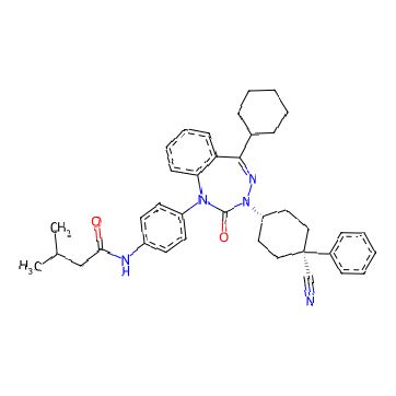 CC(C)CC(=O)Nc1ccc(N2C(=O)N([C@H]3CC[C@](C#N)(c4ccccc4)CC3)N=C(C3CCCCC3)c3ccccc32)cc1